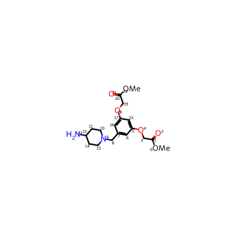 COC(=O)COc1cc(CN2CCC(N)CC2)cc(OCC(=O)OC)c1